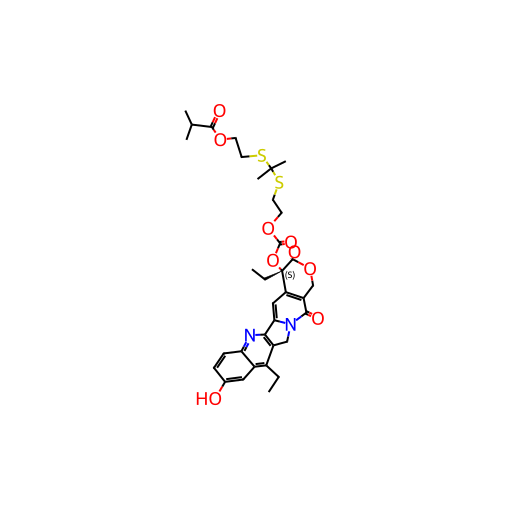 CCc1c2c(nc3ccc(O)cc13)-c1cc3c(c(=O)n1C2)COC(=O)[C@@]3(CC)OC(=O)OCCSC(C)(C)SCCOC(=O)C(C)C